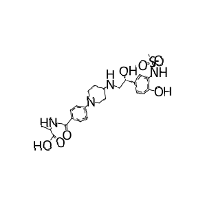 CC(NC(=O)c1ccc(N2CCC(NC[C@@H](O)c3ccc(O)c(NS(C)(=O)=O)c3)CC2)cc1)C(=O)O